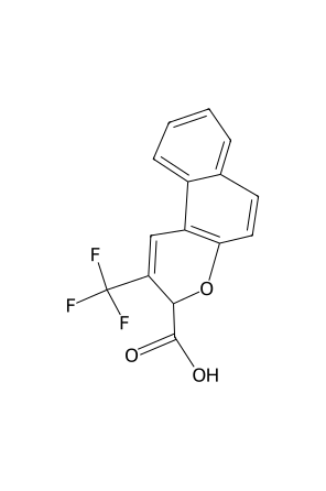 O=C(O)C1Oc2ccc3ccccc3c2C=C1C(F)(F)F